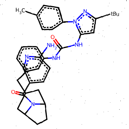 Cc1ccc(-n2nc(C(C)(C)C)cc2NC(=O)Nc2cccc(CC3CC4CCC(C3)N4C(=O)c3ccc(N)nc3)c2)cc1